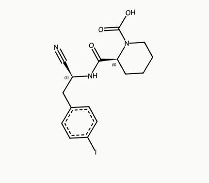 N#C[C@H](Cc1ccc(I)cc1)NC(=O)[C@@H]1CCCCN1C(=O)O